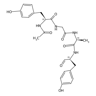 CC(=O)N[C@@H](Cc1ccc(O)cc1)C(=O)NCC(=O)N[C@@H](C)C(=O)N[C@H](C=O)Cc1ccc(O)cc1